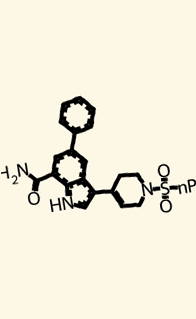 CCCS(=O)(=O)N1CC=C(c2c[nH]c3c(C(N)=O)cc(-c4ccccc4)cc23)CC1